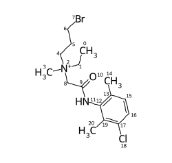 CC[N+](C)(CCCBr)CC(=O)Nc1c(C)ccc(Cl)c1C